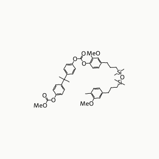 COC(=O)Oc1ccc(C(C)(C)c2ccc(OC(=O)Oc3ccc(CCC[Si](C)(C)O[Si](C)(C)CCCc4ccc(C)c(OC)c4)cc3OC)cc2)cc1